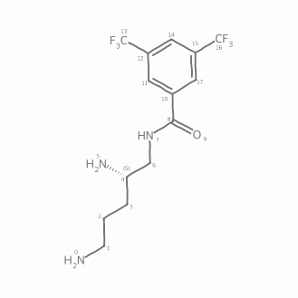 NCCC[C@H](N)CNC(=O)c1cc(C(F)(F)F)cc(C(F)(F)F)c1